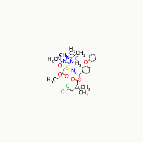 CC1(C)[C@H](C(=O)OC(C#N)c2cccc(Oc3ccccc3)c2)[C@@H]1C=C(Cl)Cl.CCOC(=O)CSc1nc(C(C)(C)C)nn1C(=O)N(C)C